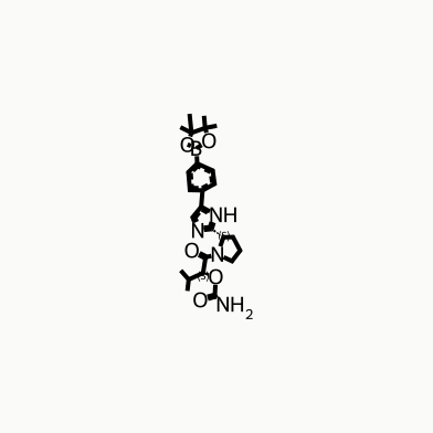 CC(C)[C@H](OC(N)=O)C(=O)N1CCC[C@H]1c1ncc(-c2ccc(B3OC(C)(C)C(C)(C)O3)cc2)[nH]1